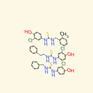 Cc1ccccc1CNC(=S)Nc1ccc(O)c(Cl)c1.Oc1ccc(NC(=S)NCCc2ccccc2)cc1Cl.Oc1ccc(NC(=S)NCc2ccccc2)cc1Cl